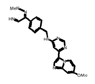 CN/N=C(\C=N)c1ccc(CNc2cc(-c3cnc4cc(OC)ccn34)ncn2)cc1